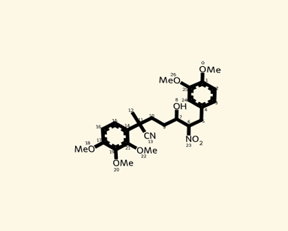 COc1ccc(CC(C(O)CCC(C)(C#N)c2ccc(OC)c(OC)c2OC)[N+](=O)[O-])cc1OC